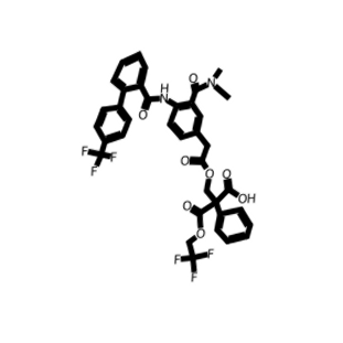 CN(C)C(=O)c1cc(CC(=O)OCC(C(=O)O)(C(=O)OCC(F)(F)F)c2ccccc2)ccc1NC(=O)c1ccccc1-c1ccc(C(F)(F)F)cc1